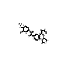 O=C(Nc1ccc(SC(F)(F)F)c(F)c1)c1cnc(N2CCOC2)c(-c2ccn[nH]2)c1